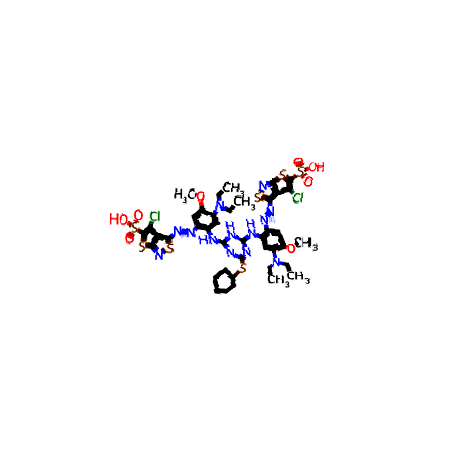 CCN(CC)c1cc(NC2=NC(SC3CCCCC3)=NC(Nc3cc(N(CC)CC)c(OC)cc3/N=N/c3snc4sc(S(=O)(=O)O)c(Cl)c34)N2)c(/N=N/c2snc3sc(S(=O)(=O)O)c(Cl)c23)cc1OC